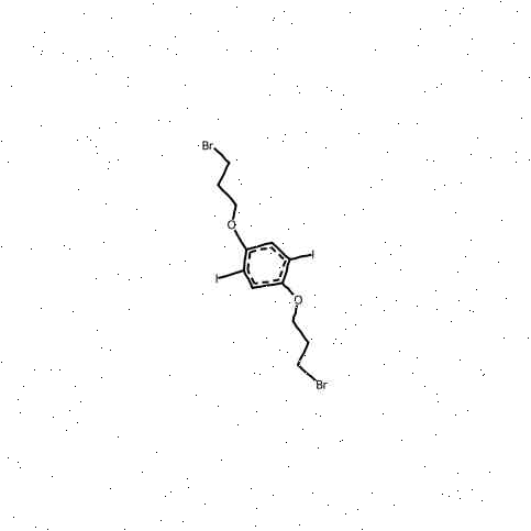 BrCCCOc1cc(I)c(OCCCBr)cc1I